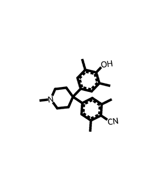 Cc1cc(C2(c3cc(C)c(C#N)c(C)c3)CCN(C)CC2)cc(C)c1O